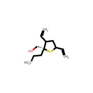 C=CC1CC(C=C)[C@](CO)(CCC(=O)O)S1